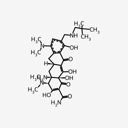 CN(C)c1cc(CNCC(C)(C)C)c(O)c2c1C[C@H]1C[C@@]3(N)[C@H](N(C)C)C(O)=C(C(N)=O)C(=O)[C@@]3(O)C(O)=C1C2=O